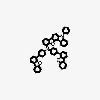 C1=Cc2c(oc3c(-c4ccc(N(c5cccc6c5oc5c6ccc6c5c5ccccc5n6-c5ccccc5)C5C=CC(c6cccc7c6oc6ccccc67)=CC5)cc4)cccc23)CC1